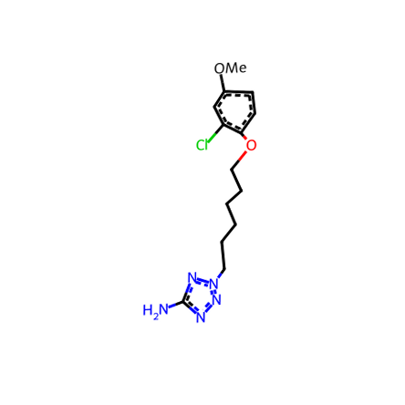 COc1ccc(OCCCCCCn2nnc(N)n2)c(Cl)c1